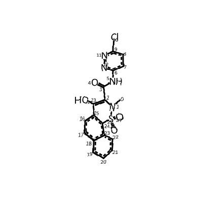 CN1C(C(=O)Nc2ccc(Cl)nn2)=C(O)c2ccc3ccccc3c2S1(=O)=O